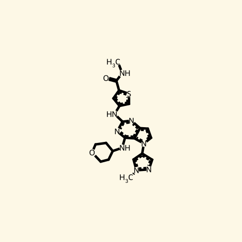 CNC(=O)c1cc(Nc2nc(NC3CCOCC3)c3c(ccn3-c3cnn(C)c3)n2)cs1